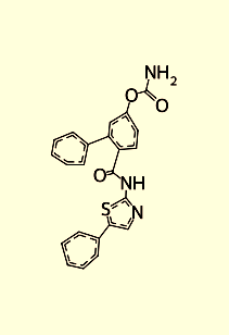 NC(=O)Oc1ccc(C(=O)Nc2ncc(-c3ccccc3)s2)c(-c2ccccc2)c1